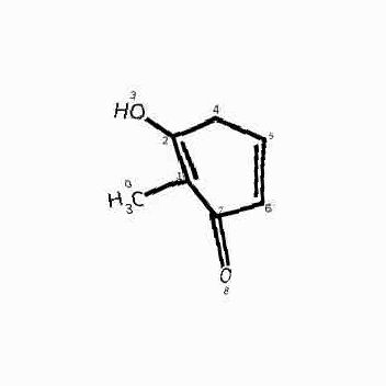 CC1=C(O)CC=CC1=O